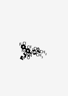 C=CC(=O)N1[C@H](C)CN(c2nc(=O)n3c4c(c(-c5cc(Cl)c(F)cc5F)c(C(F)(F)F)cc24)SCC3CN2CCC2)C[C@@H]1C